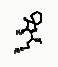 CCCC(N)C1=NC2(CCCC2)C(=O)N1C